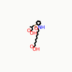 CC(CSc1ccccc1NC(=O)CCCCCCCCCC(=O)O)CC(=O)O